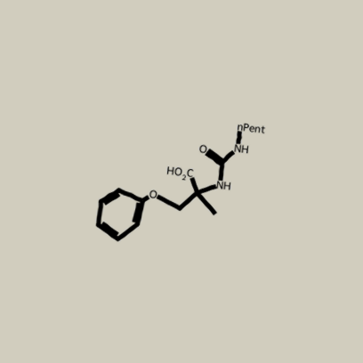 CCCCCNC(=O)NC(C)(COc1ccccc1)C(=O)O